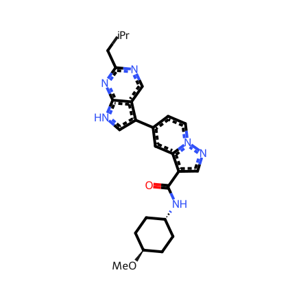 CO[C@H]1CC[C@H](NC(=O)c2cnn3ccc(-c4c[nH]c5nc(CC(C)C)ncc45)cc23)CC1